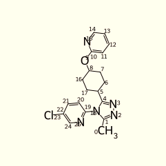 Cc1nnc(C2CCC(Oc3ccccn3)CC2)n1-c1ccc(Cl)cn1